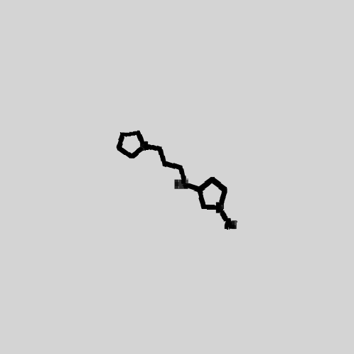 CC(=O)N1CCC(NCCCN2CCCC2)C1